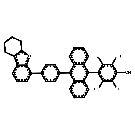 Oc1c(O)c(O)c(-c2c3ccccc3c(-c3ccc(-c4cccc5c6c(oc45)CCCC6)cc3)c3ccccc23)c(O)c1O